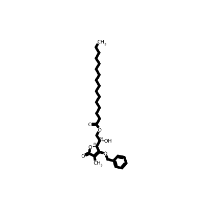 CCCCCCCCCCCCCCCC(=O)OC[C@H](O)[C@H]1OC(=O)C(C)=C1OCc1ccccc1